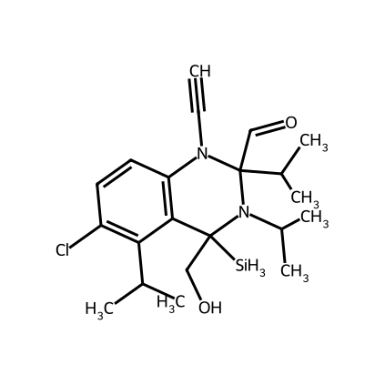 C#CN1c2ccc(Cl)c(C(C)C)c2C([SiH3])(CO)N(C(C)C)C1(C=O)C(C)C